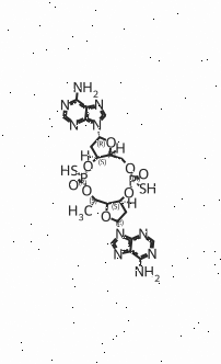 C[C@@H]1O[P@@](=O)(S)O[C@H]2C[C@H](n3cnc4c(N)ncnc43)O[C@@H]2CO[P@@](=O)(S)O[C@H]2C[C@H](n3cnc4c(N)ncnc43)OC12